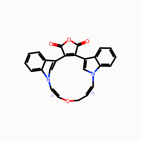 O=C1OC(=O)C2=C1c1cn(c3ccccc13)/C=C\CO/C=C\n1cc2c2ccccc21